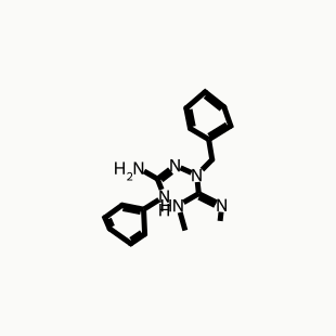 CN=C(NC)N(Cc1ccccc1)N=C(N)Nc1ccccc1